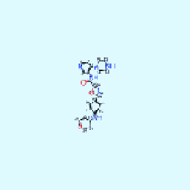 O=C(Nc1cnccc1N1CCNCC1)c1cnc(-c2ccc(NC3CCOCC3)cc2)o1